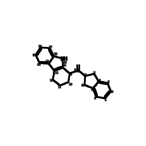 c1ccc2c(c1)CC(NC1CCCc3c1[nH]c1ccccc31)C2